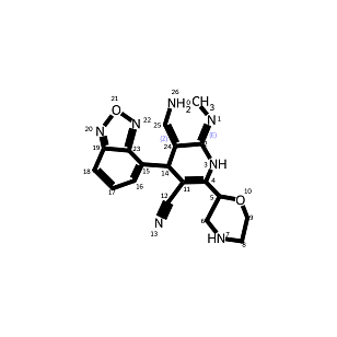 C/N=C1/NC(C2CNCCO2)=C(C#N)C(c2cccc3nonc23)/C1=C/N